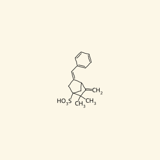 C=C1C2CC(S(=O)(=O)O)(CC2=Cc2ccccc2)C1(C)C